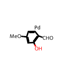 COc1ccc(C=O)c(O)c1.[Pd]